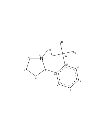 CN1CCCC1c1ccccc1C(C)(C)C